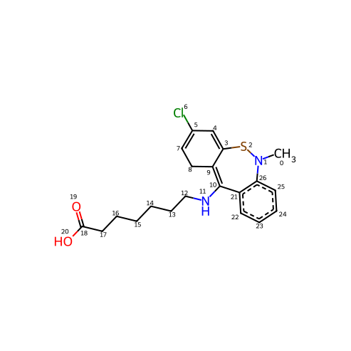 CN1SC2=CC(Cl)=CCC2=C(NCCCCCCC(=O)O)c2ccccc21